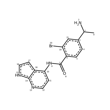 CC(N)c1ccc(C(=O)Nc2ccnc3[nH]ccc23)c(Br)c1